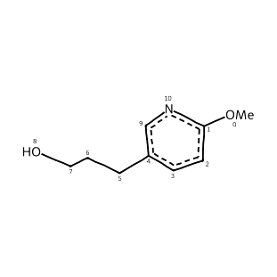 COc1ccc(CCCO)cn1